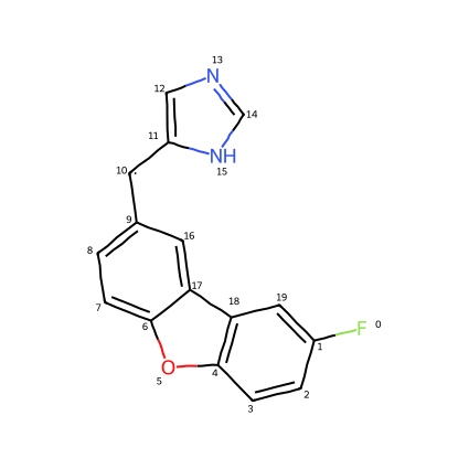 Fc1ccc2oc3ccc([CH]c4cnc[nH]4)cc3c2c1